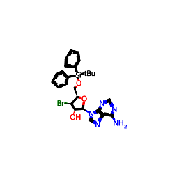 CC(C)(C)[Si](OC[C@H]1O[C@@H](n2cnc3c(N)ncnc32)[C@H](O)[C@H]1Br)(c1ccccc1)c1ccccc1